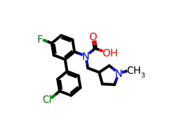 CN1CCC(CN(C(=O)O)c2ccc(F)cc2-c2cccc(Cl)c2)C1